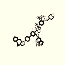 O=C(NS(=O)(=O)c1ccc(NCC2CCOCC2)c([N+](=O)[O-])c1)c1ccc(C2=CCC(N3CCCC3Cc3ccccc3C3CC3)CC2)cc1Oc1cnc2[nH]ccc2c1